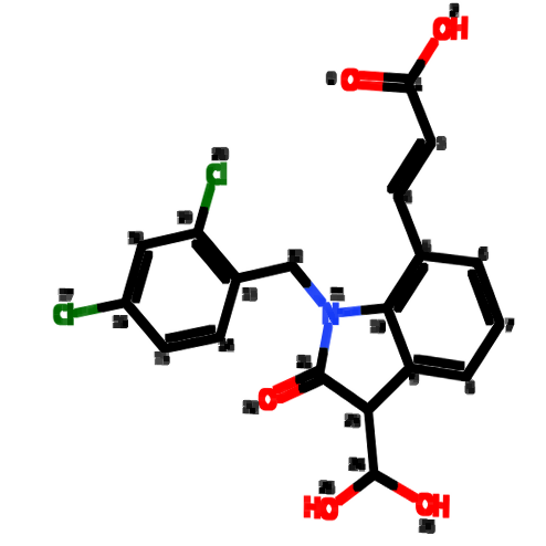 O=C(O)C=Cc1cccc2c1N(Cc1ccc(Cl)cc1Cl)C(=O)C2C(O)O